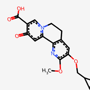 COc1nc2c(cc1OCC1CC1)CCn1cc(C(=O)O)c(=O)cc1-2